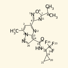 Cc1cc(-c2noc(C(C)C)n2)nc2c(C(=O)NC(C3CC3)C(F)(F)F)cnn12